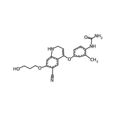 Cc1cc(OC2=CCNc3cc(OCCCO)c(C#N)cc32)ccc1NC(N)=O